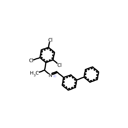 CC(/N=C/c1cccc(-c2ccccc2)c1)c1c(Cl)cc(Cl)cc1Cl